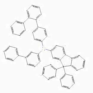 c1ccc(-c2cccc(N(c3ccc(-c4ccccc4-c4ccccc4)cc3)c3ccc4c(c3)C(c3ccccc3)(c3ccccc3)c3ccccc3-4)c2)cc1